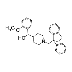 COc1ccccc1[C@H](O)C1CCN(CC23CC(c4ccccc42)c2ccccc23)CC1